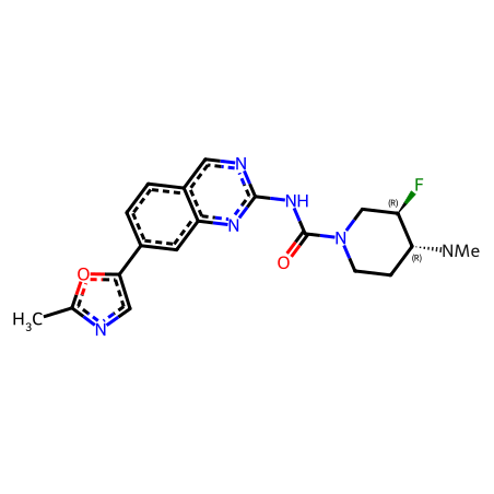 CN[C@@H]1CCN(C(=O)Nc2ncc3ccc(-c4cnc(C)o4)cc3n2)C[C@H]1F